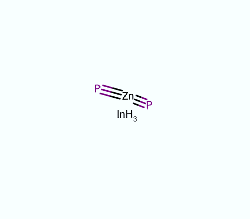 [InH3].[P]#[Zn]#[P]